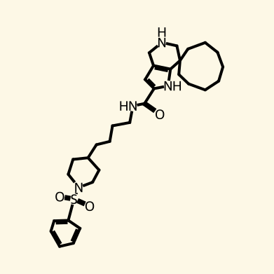 O=C(NCCCCC1CCN(S(=O)(=O)c2ccccc2)CC1)c1cc2c([nH]1)C1(CCCCCCCC1)CNC2